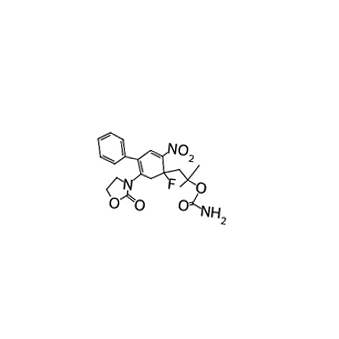 CC(C)(CC1(F)CC(N2CCOC2=O)=C(c2ccccc2)C=C1[N+](=O)[O-])OC(N)=O